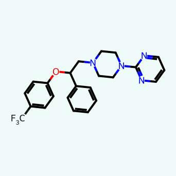 FC(F)(F)c1ccc(OC(CN2CCN(c3ncccn3)CC2)c2ccccc2)cc1